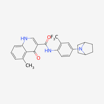 Cc1cccc2[nH]cc(C(=O)Nc3ccc(N4C5CCC4CC5)cc3C(F)(F)F)c(=O)c12